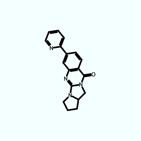 O=c1c2ccc(-c3ccccn3)cc2nc2n1CC1CCCN21